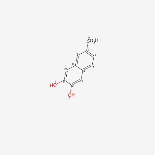 O=S(=O)(O)c1ccc2[c]c(O)c(O)cc2c1